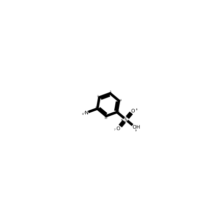 [N]c1cccc(S(=O)(=O)O)c1